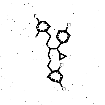 Fc1ccc(CC[C](CCCc2ccc(Cl)cc2Cl)C(c2ccc(Cl)cc2)C2CC2)c(F)c1